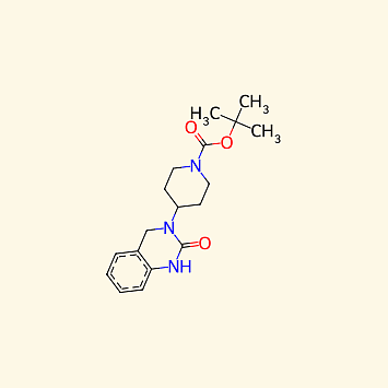 CC(C)(C)OC(=O)N1CCC(N2Cc3ccccc3NC2=O)CC1